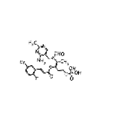 C/C(=C(\CCOP(=O)(O)O)SC(=O)/C=C/c1cc(Br)ccc1F)N(C=O)Cc1cnc(C)nc1N